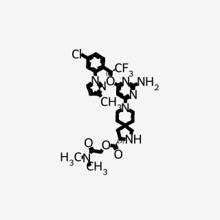 Cc1ccn(-c2cc(Cl)ccc2[C@@H](Oc2cc(N3CCC4(CC3)CN[C@H](C(=O)OCC(=O)N(C)C)C4)nc(N)n2)C(F)(F)F)n1